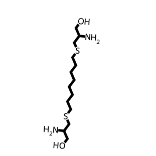 NC(CO)CSCCCCCCCCSCC(N)CO